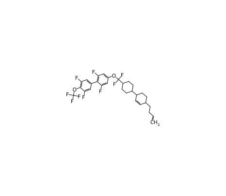 C=CCCC1C=CC(C2CCC(C(F)(F)Oc3cc(F)c(-c4cc(F)c(OC(F)(F)F)c(F)c4)c(F)c3)CC2)CC1